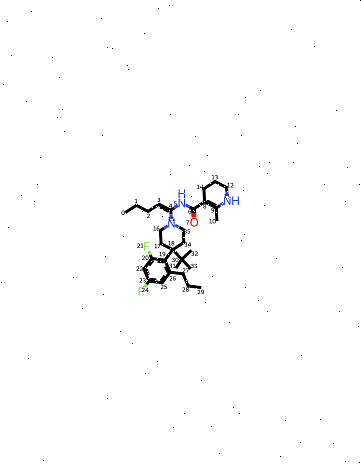 CCC/C=C(/NC(=O)C1=C(C)NCCC1)N1CCC(c2c(F)cc(F)cc2CCC)(C(C)(C)C)CC1